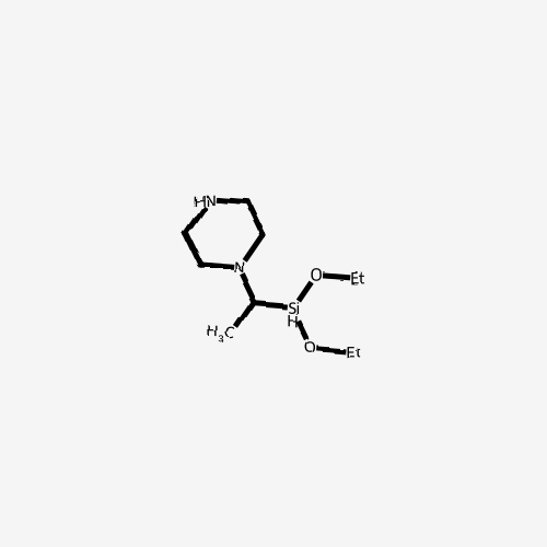 CCO[SiH](OCC)C(C)N1CCNCC1